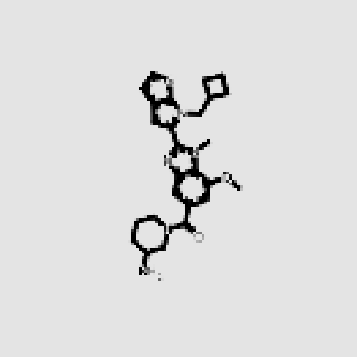 COc1cc(C(=O)N2CCCC(N)C2)cc2nc(-c3cc4ccsc4n3CC3CCC3)n(C)c12